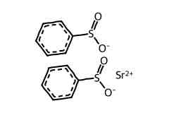 O=S([O-])c1ccccc1.O=S([O-])c1ccccc1.[Sr+2]